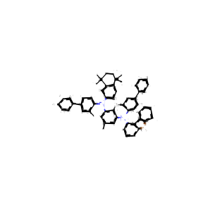 Cc1cc2c3c(c1)N(c1cccc4sc5ccccc5c14)c1ccc(-c4ccccc4)cc1B3c1cc3c(cc1N2c1ccc(-c2ccccc2)cc1C)C(C)(C)CCC3(C)C